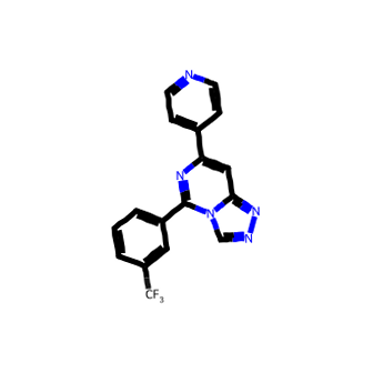 FC(F)(F)c1cccc(-c2nc(-c3ccncc3)cc3nncn23)c1